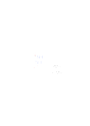 COC1CCC(CCC(=O)NC2CCCCC2C(N)=O)CC1OC